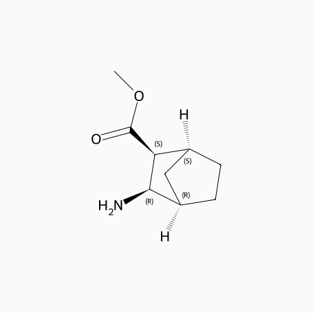 COC(=O)[C@H]1[C@H]2CC[C@H](C2)[C@H]1N